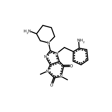 Cn1c(=O)c2c(nc(N3CCCC(N)C3)n2Cc2ccccc2N)n(C)c1=O